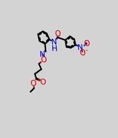 CCOC(=O)CCCO/N=C/c1ccccc1NC(=O)c1ccc([N+](=O)[O-])cc1